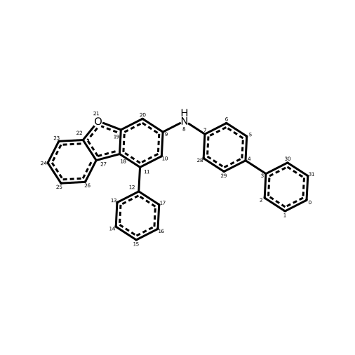 c1ccc(-c2ccc(Nc3cc(-c4ccccc4)c4c(c3)oc3ccccc34)cc2)cc1